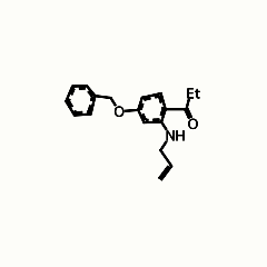 C=CCNc1cc(OCc2ccccc2)ccc1C(=O)CC